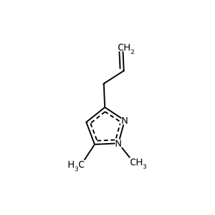 C=CCc1cc(C)n(C)n1